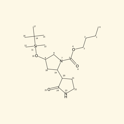 CCCCOC(=O)N1CC(O[Si](C)(C)C(C)(C)C)CC1C1CCNC1=O